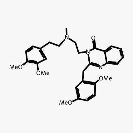 COc1ccc(OC)c(Cc2nc3ccccc3c(=O)n2CCN(C)CCc2ccc(OC)c(OC)c2)c1